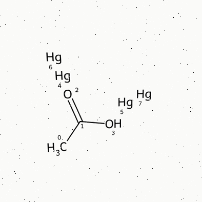 CC(=O)O.[Hg].[Hg].[Hg].[Hg]